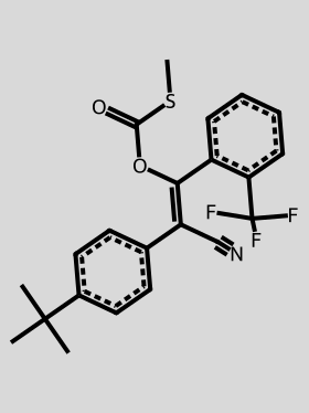 CSC(=O)OC(=C(C#N)c1ccc(C(C)(C)C)cc1)c1ccccc1C(F)(F)F